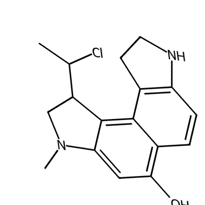 CC(Cl)C1CN(C)c2cc(O)c3ccc4c(c3c21)CCN4